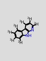 [2H]c1nc2[nH]c3c([2H])c([2H])c([2H])c([2H])c3c2c([2H])c1[2H]